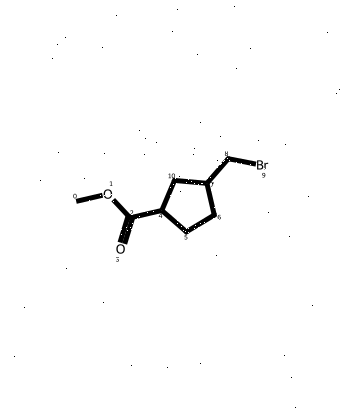 COC(=O)C1CCC(CBr)C1